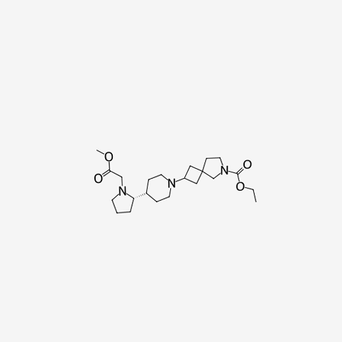 CCOC(=O)N1CCC2(CC(N3CCC([C@@H]4CCCN4CC(=O)OC)CC3)C2)C1